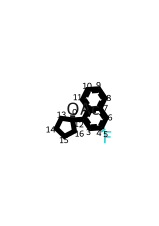 CC(=O)OC1(c2cc(F)cc3ccccc23)CCCC1